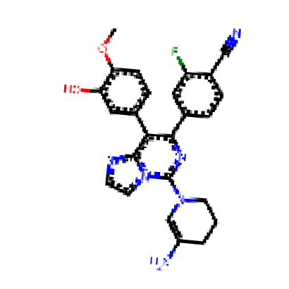 COc1ccc(-c2c(-c3ccc(C#N)c(F)c3)nc(N3C=C(N)CCC3)n3ccnc23)cc1O